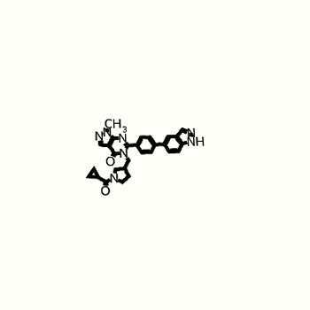 Cn1ncc2c(=O)n(CC3CCN(C(=O)C4CC4)C3)c(-c3ccc(-c4ccc5[nH]ncc5c4)cc3)nc21